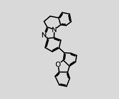 c1ccc2c(c1)CCc1nc3ccc(-c4cccc5c4oc4ccccc45)cc3n1-2